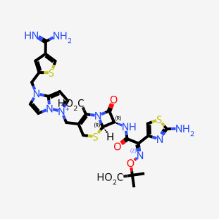 CC(C)(O/N=C(\C(=O)N[C@@H]1C(=O)N2C(C(=O)O)=C(C[n+]3ccc4n(Cc5cc(C(=N)N)cs5)ccn43)CS[C@H]12)c1csc(N)n1)C(=O)O